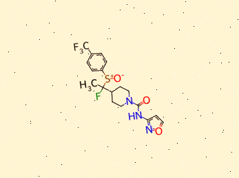 CC(F)(C1CCN(C(=O)Nc2ccon2)CC1)[S+]([O-])c1ccc(C(F)(F)F)cc1